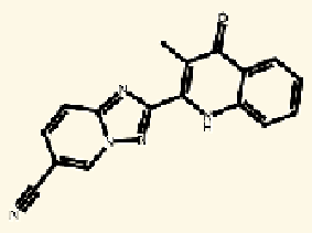 Cc1c(-c2nc3ccc(C#N)cn3n2)[nH]c2ccccc2c1=O